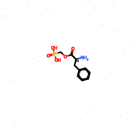 N[C@@H](Cc1ccccc1)C(=O)OCP(=O)(O)O